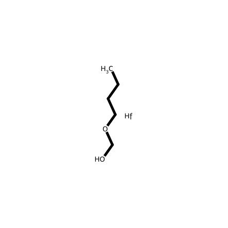 CCCCOCO.[Hf]